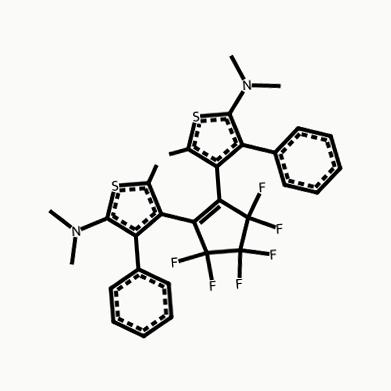 Cc1sc(N(C)C)c(-c2ccccc2)c1C1=C(c2c(C)sc(N(C)C)c2-c2ccccc2)C(F)(F)C(F)(F)C1(F)F